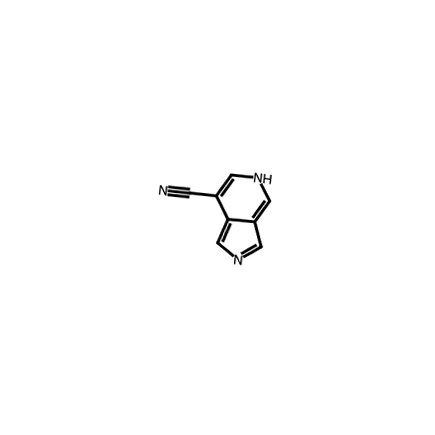 N#Cc1c[nH]cc2cncc1-2